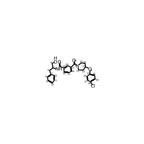 O=C(NC(CO)Cc1ccccc1)c1cccc(C(=O)N2CCC(Oc3ccc(Cl)cc3)CC2)c1